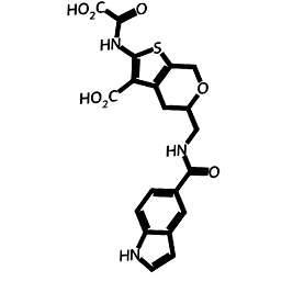 O=C(O)C(=O)Nc1sc2c(c1C(=O)O)CC(CNC(=O)c1ccc3[nH]ccc3c1)OC2